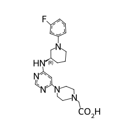 O=C(O)CN1CCN(c2cc(N[C@@H]3CCCN(c4cccc(F)c4)C3)ncn2)CC1